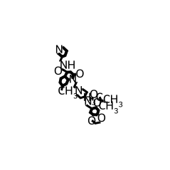 Cc1ccc2c(C(=O)NCc3cccnc3)cc(=O)n(CCN3CCC(N(Cc4ccc5c(c4)OCCO5)C(=O)OC(C)(C)C)CC3)c2c1